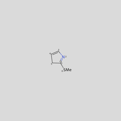 CSC1=NC=CC1